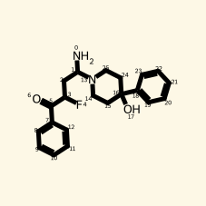 NC(CC(F)C(=O)c1ccccc1)N1CCC(O)(c2ccccc2)CC1